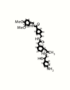 COc1ccc(CNC(=O)c2ccc(CNC(=O)Cc3cccc(CC(C)NC[C@H](O)c4ccc(N)nc4)c3)cc2)cc1OC